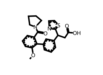 COc1cccc(C(=O)N2CCCC2)c1-c1cccc(C(CC(=O)O)c2nccs2)c1